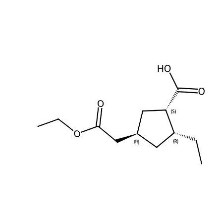 CCOC(=O)C[C@@H]1C[C@@H](CC)[C@@H](C(=O)O)C1